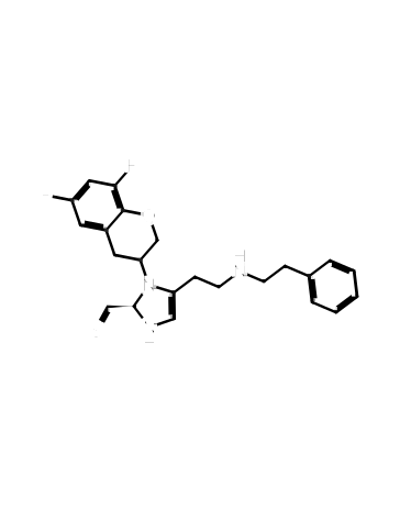 Fc1cc(F)c2c(c1)CC(N1C(CCNCCc3ccccc3)=CN[C@H]1C=S)CO2